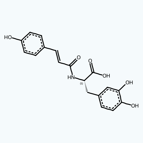 O=C(C=Cc1ccc(O)cc1)N[C@@H](Cc1ccc(O)c(O)c1)C(=O)O